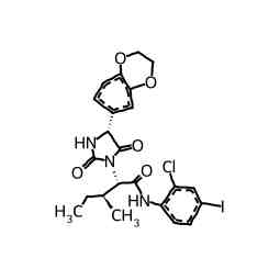 CC[C@H](C)[C@@H](C(=O)Nc1ccc(I)cc1Cl)N1C(=O)N[C@H](c2ccc3c(c2)OCCO3)C1=O